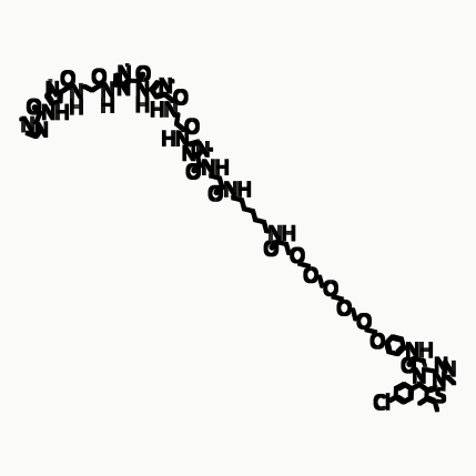 Cc1sc2c(c1C)C(c1ccc(Cl)cc1)=N[C@@H](CC(=O)Nc1ccc(OCCOCCOCCOCCOCCOCCC(=O)NCCCCCCCNC(=O)CCNC(=O)c3nc(NC(=O)CCNC(=O)c4cc(NC(=O)c5nc(NC(=O)CCNC(=O)c6cc(NC(=O)c7nccn7C)cn6C)cn5C)cn4C)cn3C)cc1)c1nnc(C)n1-2